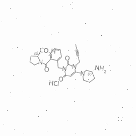 CC#CCn1c(N2CCC[C@@H](N)C2)cc(=O)n(Cc2ccccc2C(=O)N2CCC[C@H]2C(=O)O)c1=O.Cl